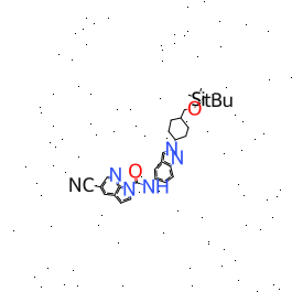 CC(C)(C)[Si](C)(C)OCC1CCC(n2cc3cc(NC(=O)n4ccc5cc(C#N)cnc54)ccc3n2)CC1